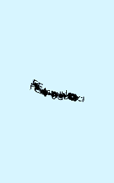 O=C(COc1ccc(Cl)cc1)N[C@@H]1CC[C@@H](CO[C@H]2C[C@@H](OC(F)(F)F)C2)OC1